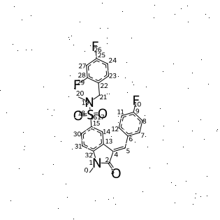 CN1C(=O)/C(=C/c2ccc(F)cc2)c2cc(S(=O)(=O)N(C)Cc3ccc(F)cc3F)ccc21